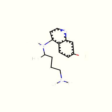 CCN(CC)CCCC(C)N(C(=O)O)c1ccnc2cc(O)ccc12